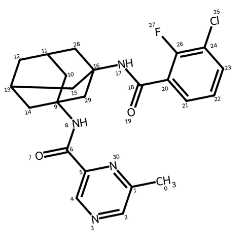 Cc1cncc(C(=O)NC23CC4CC(C2)CC(NC(=O)c2cccc(Cl)c2F)(C4)C3)n1